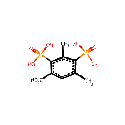 Cc1cc(C(=O)O)c(P(=O)(O)O)c(C)c1P(=O)(O)O